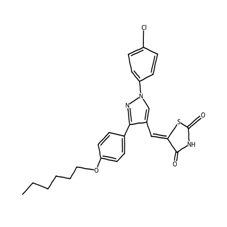 CCCCCCOc1ccc(-c2nn(-c3ccc(Cl)cc3)cc2/C=C2\SC(=O)NC2=O)cc1